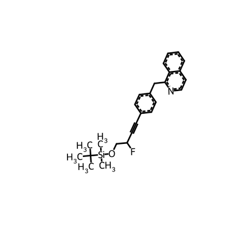 CC(C)(C)[Si](C)(C)OCC(F)C#Cc1ccc(Cc2nccc3ccccc23)cc1